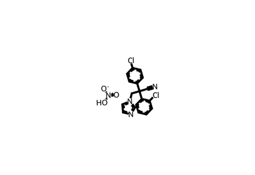 N#CC(Cn1ccnc1)(c1ccc(Cl)cc1)c1ccccc1Cl.O=[N+]([O-])O